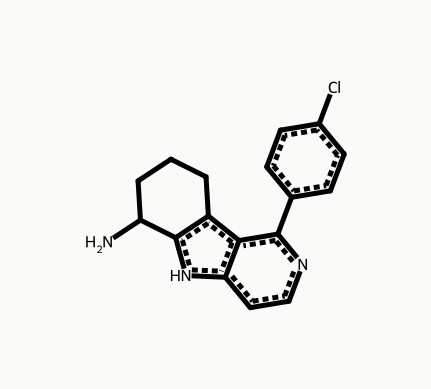 NC1CCCc2c1[nH]c1ccnc(-c3ccc(Cl)cc3)c21